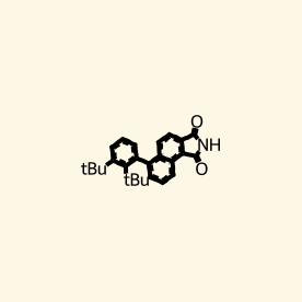 CC(C)(C)c1cccc(-c2cccc3c4c(ccc23)C(=O)NC4=O)c1C(C)(C)C